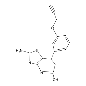 C#CCOc1cccc(C2CC(O)=Nc3nc(N)sc32)c1